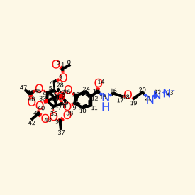 CC(=O)OC[C@H]1O[C@@H](Oc2ccc(C(=O)NCCOCCN=[N+]=[N-])cc2O[Si](C)(C)C(C)(C)C)[C@H](OC(C)=O)[C@@H](OC(C)=O)[C@H]1OC(C)=O